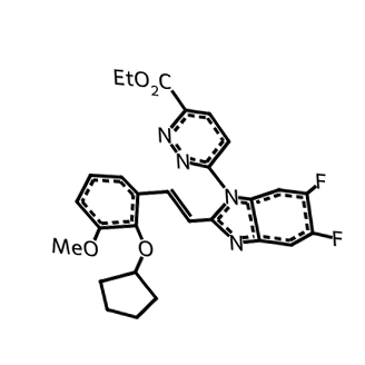 CCOC(=O)c1ccc(-n2c(/C=C/c3cccc(OC)c3OC3CCCC3)nc3cc(F)c(F)cc32)nn1